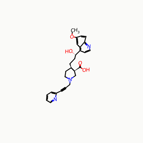 COc1ccc2nccc([C@@H](O)CC[C@@H]3CCN(CC#Cc4ccccn4)C[C@@H]3C(=O)O)c2c1